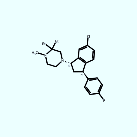 CCC1(CC)CN([C@H]2C[C@H](c3ccc(F)cc3)c3ccc(Cl)cc32)CCN1C